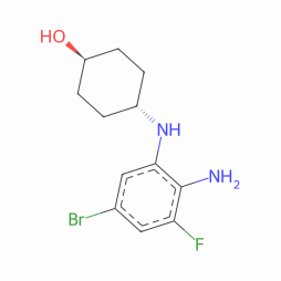 Nc1c(F)cc(Br)cc1N[C@H]1CC[C@H](O)CC1